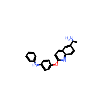 CC(N)c1ccc2nc(Oc3ccc(Nc4ccccc4)cc3)ccc2c1